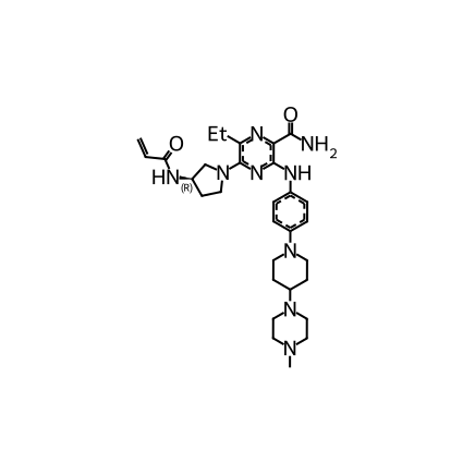 C=CC(=O)N[C@@H]1CCN(c2nc(Nc3ccc(N4CCC(N5CCN(C)CC5)CC4)cc3)c(C(N)=O)nc2CC)C1